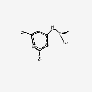 CB(O)Nc1cc(Cl)nc(Cl)c1